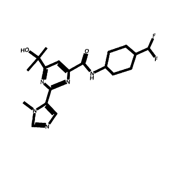 Cn1cncc1-c1nc(C(=O)NC2CCC(C(F)F)CC2)cc(C(C)(C)O)n1